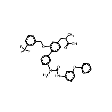 CC(Cc1ccc(-c2cccc(N(C)C(=O)Nc3cccc(Oc4ccccc4)c3)c2)c(OCc2cccc(C(F)(F)F)c2)c1)C(=O)O